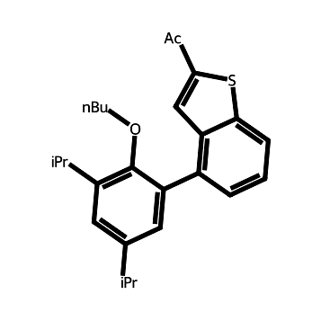 CCCCOc1c(-c2cccc3sc(C(C)=O)cc23)cc(C(C)C)cc1C(C)C